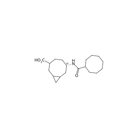 O=C(O)C1CC[C@H](NC(=O)C2CCCCCCC2)CC2CC2C1